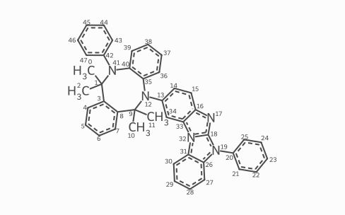 CC1(C)c2ccccc2C(C)(C)N(c2ccc3nc4n(-c5ccccc5)c5ccccc5n4c3c2)c2ccccc2N1c1ccccc1